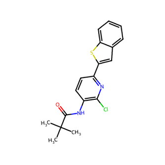 CC(C)(C)C(=O)Nc1ccc(-c2cc3ccccc3s2)nc1Cl